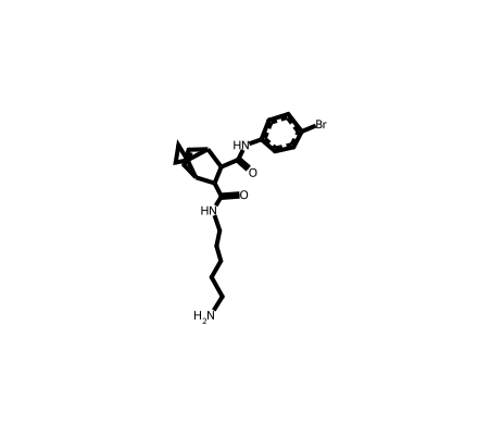 NCCCCCNC(=O)C1C(C(=O)Nc2ccc(Br)cc2)C2C=CC1C21CC1